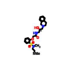 CNCCN(C)S(=O)(=O)c1ccccc1OCC(=O)NC[C@@H](O)CN1CCc2ccccc2C1